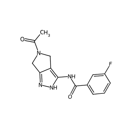 CC(=O)N1Cc2n[nH]c(NC(=O)c3cccc(F)c3)c2C1